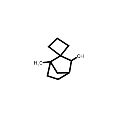 CC12CCC(C1)C(O)C21CCC1